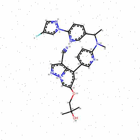 CC(c1ccc(-n2cc(F)cn2)nc1)N(C)c1ccc(-c2cc(OCC(C)(C)O)cn3ncc(C#N)c23)cn1